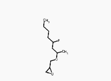 CCCCC(F)CC(C)OCC1CO1